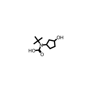 CC(C)(C)N(C(=O)O)C1CCC(O)C1